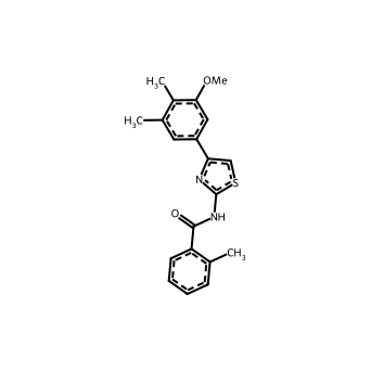 COc1cc(-c2csc(NC(=O)c3ccccc3C)n2)cc(C)c1C